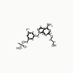 CP(=O)(O)OCc1cc(F)cc(Cn2ncc3c(N)nc(OCCO)nc32)c1